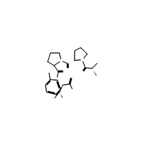 CC[C@H](N)C(=O)N1CCC[C@H]1C(=O)N1CCC[C@]1(Cc1ccccc1)C(=O)N[C@H](C(N)=O)[C@@H](C)O